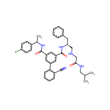 CC(C)CNC(=O)CNC[C@H](Cc1ccccc1)NC(=O)c1cc(C(=O)NC(C)c2ccc(F)cc2)cc(-c2ccccc2C#N)c1